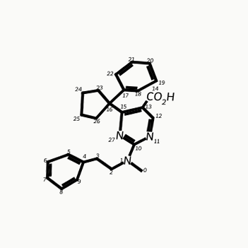 CN(CCc1ccccc1)c1ncc(C(=O)O)c(C2(c3ccccc3)CCCC2)n1